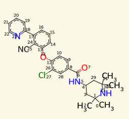 CC1(C)CC(NC(=O)c2ccc(Oc3cccc(-c4ccccn4)c3C#N)c(Cl)c2)CC(C)(C)N1